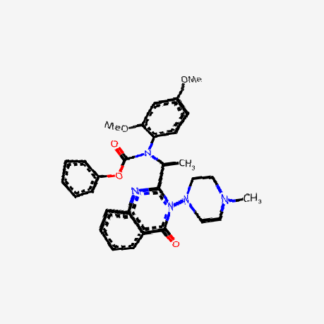 COc1ccc(N(C(=O)Oc2ccccc2)C(C)c2nc3ccccc3c(=O)n2N2CCN(C)CC2)c(OC)c1